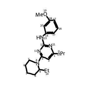 CCCc1cc(N2CCCCC2CC)nc(Nc2cccc(OC)c2)n1